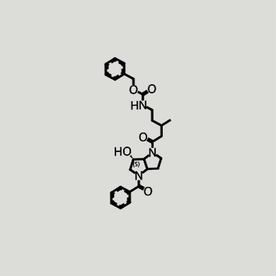 CC(CCNC(=O)OCc1ccccc1)CC(=O)N1CCC2C1[C@@H](O)CN2C(=O)c1ccccc1